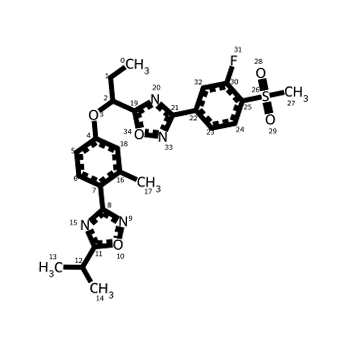 CCC(Oc1ccc(-c2noc(C(C)C)n2)c(C)c1)c1nc(-c2ccc(S(C)(=O)=O)c(F)c2)no1